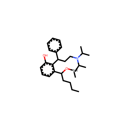 CCCCC(O[SiH](C)C)c1cccc(O)c1C(CCN(C(C)C)C(C)C)c1ccccc1